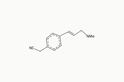 CNCC=Cc1ccc(CC#N)cc1